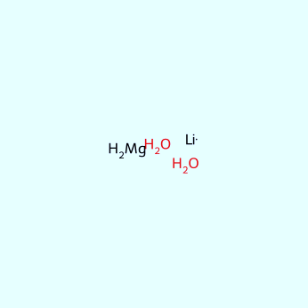 O.O.[Li].[MgH2]